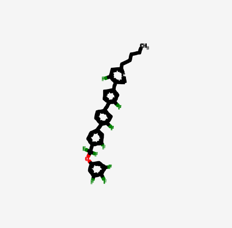 CCCCCc1ccc(-c2ccc(-c3ccc(-c4ccc(C(F)(F)Oc5cc(F)c(F)c(F)c5)c(F)c4)c(F)c3)c(F)c2)c(F)c1